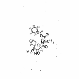 CCC[C@H](C)C(O)C(F)(F)C(=O)N[C@@H](C)C(=O)OCc1ccccc1